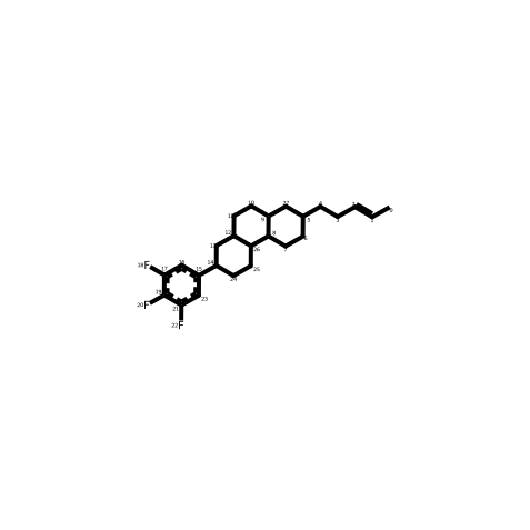 C/C=C/CCC1CCC2C(CCC3CC(c4cc(F)c(F)c(F)c4)CCC32)C1